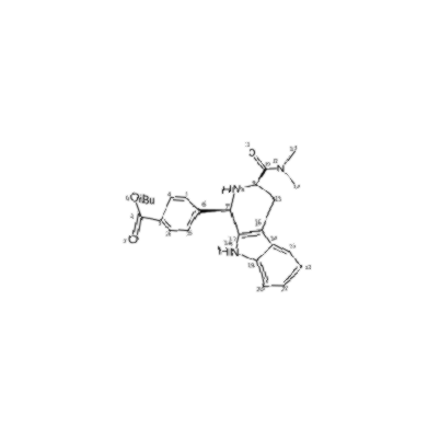 CC(C)COC(=O)c1ccc([C@H]2N[C@@H](C(=O)N(C)C)Cc3c2[nH]c2ccccc32)cc1